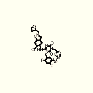 Cn1cnc(Cn2c(=O)nc(Nc3cc4cn(CC5CCO5)nc4cc3Cl)n(Cc3cc(Cl)c(F)cc3F)c2=O)n1